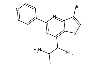 CC(N)C(N)c1nc(-c2ccncc2)nc2c(Br)csc12